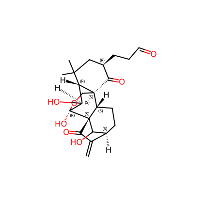 C=C1C(=O)[C@]23C(O)[C@H]1CC[C@H]2[C@@]12CO[C@@]3(O)[C@@H](O)[C@@H]1C(C)(C)C[C@@H](CCC=O)C2=O